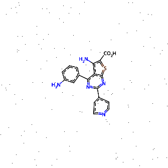 Nc1cccc(-c2nc(-c3ccncc3)nc3sc(C(=O)O)c(N)c23)c1